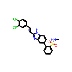 CNS(=O)(=O)c1ccccc1-c1ccc2[nH]c(/C=C/c3ccc(Cl)c(Cl)c3)nc2c1